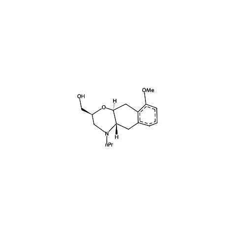 CCCN1C[C@@H](CO)O[C@H]2Cc3c(cccc3OC)C[C@@H]21